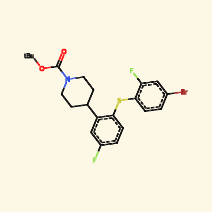 CC(C)(C)OC(=O)N1CCC(c2cc(F)ccc2Sc2ccc(Br)cc2F)CC1